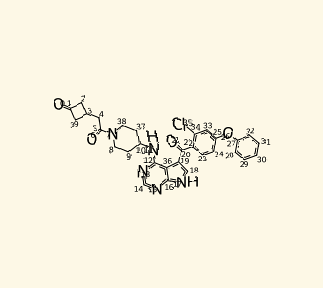 O=C1CC(CC(=O)N2CCC(Nc3ncnc4[nH]cc(C(=O)c5ccc(Oc6ccccc6)cc5Cl)c34)CC2)C1